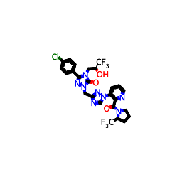 O=C(c1ncccc1-n1cnc(Cn2nc(-c3ccc(Cl)cc3)n(C[C@@H](O)C(F)(F)F)c2=O)n1)N1CCCC1C(F)(F)F